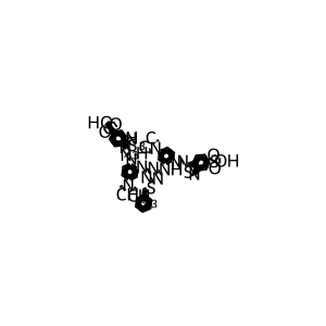 CCN(CC)c1ccc(/N=N/c2snc3cc(S(=O)(=O)O)ccc23)c(Nc2nc(Nc3cc(N(CC)CC)ccc3/N=N/c3snc4cc(S(=O)(=O)O)ccc34)nc(SCc3ccccc3)n2)c1